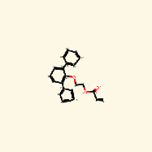 C=CC(=O)OCCOc1c(-c2ccccc2)cccc1-c1ccccc1